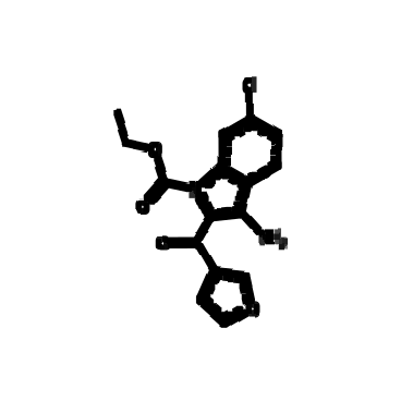 CCOC(=O)n1c(C(=O)c2ccoc2)c(N)c2ccc(Cl)cc21